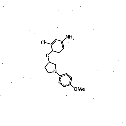 COc1ccc(N2CCC(OC3CC=C(N)C=C3Cl)C2)cc1